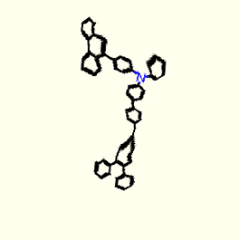 c1ccc(-c2ccc(-c3ccc(-c4ccc(N(c5ccccc5)c5ccc(-c6cc7ccccc7c7ccccc67)cc5)cc4)cc3)cc2-c2ccccc2)cc1